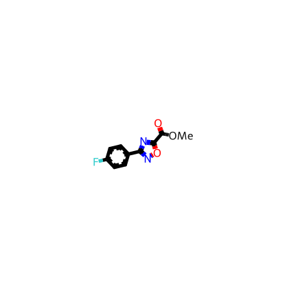 COC(=O)c1nc(-c2ccc(F)cc2)no1